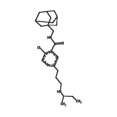 CCC(C)NCCCc1ccc(Cl)c(C(=O)NCC23CC4CC(CC(C4)C2)C3)c1